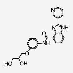 O=C(Nc1cccc(OCC(O)CO)c1)c1cccc2[nH]c(-c3cccnc3)nc12